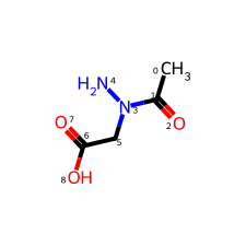 CC(=O)N(N)CC(=O)O